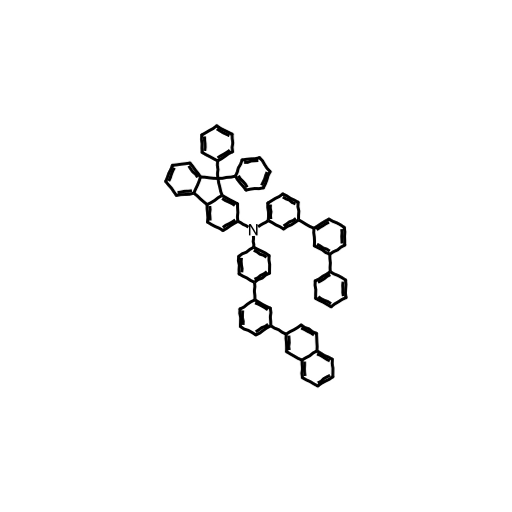 c1ccc(-c2cccc(-c3cccc(N(c4ccc(-c5cccc(-c6ccc7ccccc7c6)c5)cc4)c4ccc5c(c4)C(c4ccccc4)(c4ccccc4)c4ccccc4-5)c3)c2)cc1